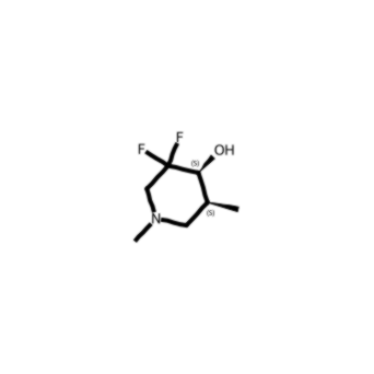 C[C@H]1CN(C)CC(F)(F)[C@H]1O